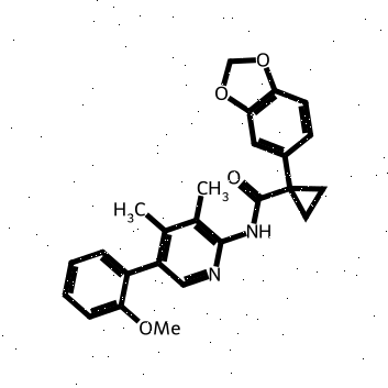 COc1ccccc1-c1cnc(NC(=O)C2(c3ccc4c(c3)OCO4)CC2)c(C)c1C